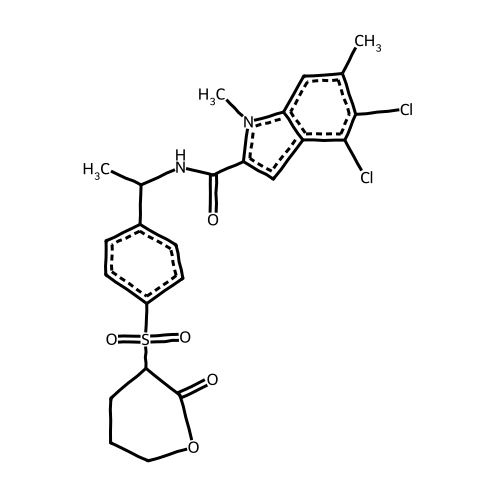 Cc1cc2c(cc(C(=O)NC(C)c3ccc(S(=O)(=O)C4CCCOC4=O)cc3)n2C)c(Cl)c1Cl